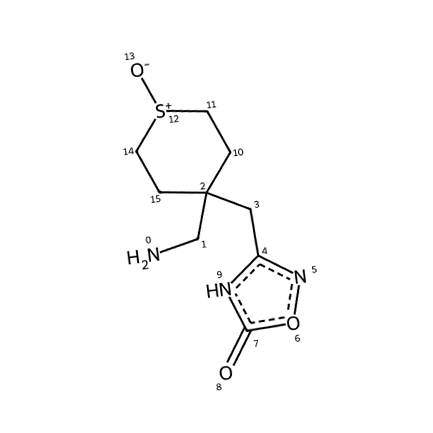 NCC1(Cc2noc(=O)[nH]2)CC[S+]([O-])CC1